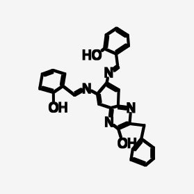 Oc1ccccc1C=Nc1cc2nc(O)c(Cc3ccccc3)nc2cc1N=Cc1ccccc1O